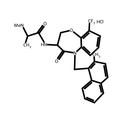 CNC(C)C(=O)NC1COc2c(cccc2C(F)(F)F)N(Cc2c(C)ccc3ccccc23)C1=O.Cl